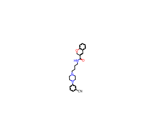 N#Cc1cccc(N2CCN(CCCCNC(=O)C3=Cc4ccccc4OC3)CC2)c1